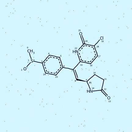 C[S+]([O-])c1ccc(C(=C[C@H]2CCC(=O)N2)c2ccc(Cl)c(=O)[nH]2)cc1